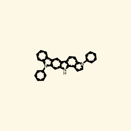 c1ccc(-n2ccc3c4[nH]c5cc6c(cc5c4ccc32)c2ccccc2n6-c2ccccc2)cc1